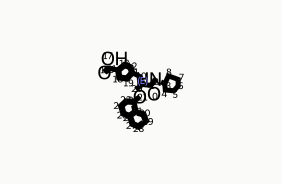 O=C(NC1CCCCC1)/C(=C/c1ccc(C(=O)O)cc1)COc1cccc2ccccc12